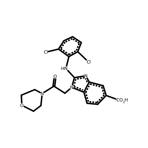 O=C(O)c1ccc2c(c1)nc(Nc1c(Cl)cccc1Cl)n2CC(=O)N1CCOCC1